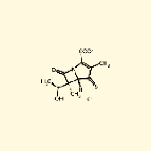 CC1=C(C(=O)[O-])N2C(=O)[C@](C)([C@H](C)O)[C@H]2C1=S.[K+]